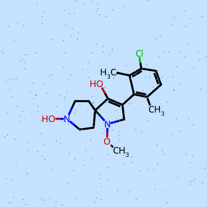 CON1CC(c2c(C)ccc(Cl)c2C)=C(O)C12CCN(O)CC2